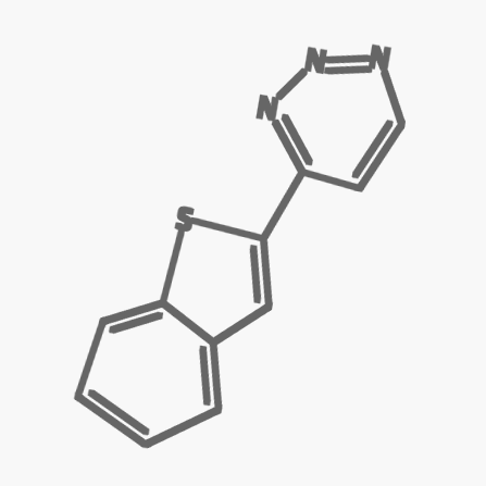 c1ccc2sc(-c3ccnnn3)cc2c1